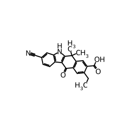 CCc1cc2c(cc1C(=O)O)C(C)(C)c1[nH]c3cc(C#N)ccc3c1C2=O